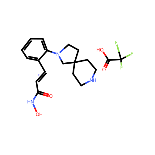 O=C(/C=C/c1ccccc1N1CCC2(CCNCC2)C1)NO.O=C(O)C(F)(F)F